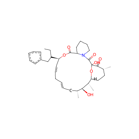 CCC(Cc1ccccc1)[C@@H]1/C=C/C/C=C/C[C@@H](C)[C@H](O)[C@@H](C)[C@@H]2CC[C@@H](C)C(=O)C(O)(O2)C(=O)N2CCCCC2C(=O)O1